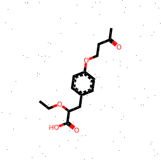 CCOC(Cc1ccc(OCCC(C)=O)cc1)C(=O)O